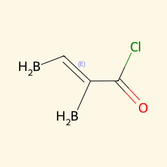 B/C=C(\B)C(=O)Cl